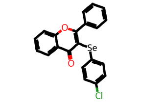 O=c1c([Se]c2ccc(Cl)cc2)c(-c2ccccc2)oc2ccccc12